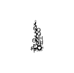 C=CCOC(=O)CC(=O)CNC(=O)NCc1c(F)cccc1C(F)(F)F